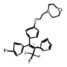 Fc1ccc(/C(=C(/c2ccccc2)C(F)(F)F)c2ccc(OCCN3CCOCC3)cc2)cc1